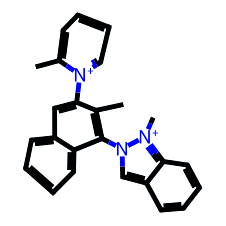 Cc1c(-[n+]2ccccc2C)cc2ccccc2c1-n1cc2ccccc2[n+]1C